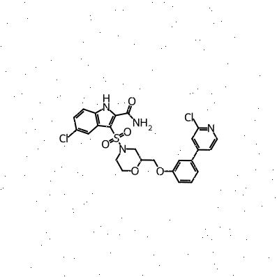 NC(=O)c1[nH]c2ccc(Cl)cc2c1S(=O)(=O)N1CCOC(COc2cccc(-c3ccnc(Cl)c3)c2)C1